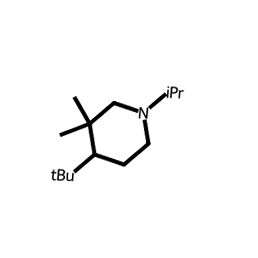 CC(C)N1CCC(C(C)(C)C)C(C)(C)C1